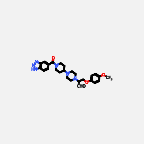 O=CC(COc1ccc(OC(F)(F)F)cc1)N1CCN(C2CCN(C(=O)c3ccc4[nH]nnc4c3)CC2)CC1